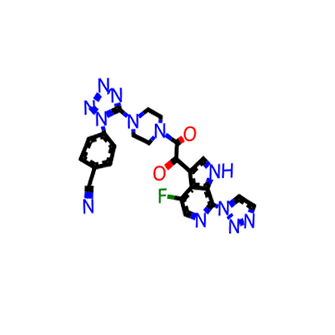 N#Cc1ccc(-n2nnnc2N2CCN(C(=O)C(=O)c3c[nH]c4c(-n5ccnn5)ncc(F)c34)CC2)cc1